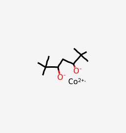 CC(C)(C)C([O-])CC([O-])C(C)(C)C.[Co+2]